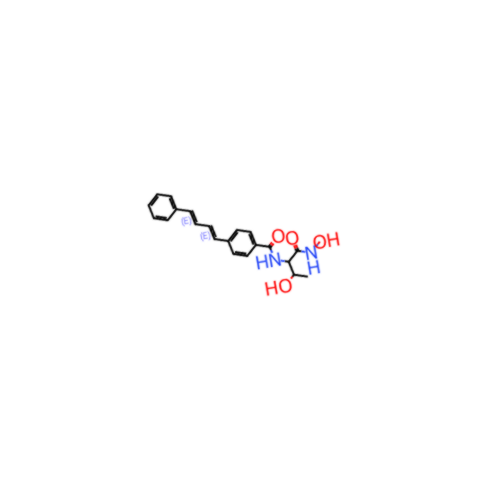 CC(O)C(NC(=O)c1ccc(/C=C/C=C/c2ccccc2)cc1)C(=O)NO